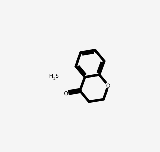 O=C1CCOc2ccccc21.S